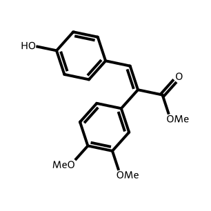 COC(=O)C(=Cc1ccc(O)cc1)c1ccc(OC)c(OC)c1